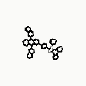 c1ccc(-n2c(-c3ccc(-c4ccc5c(-c6ccc7ccccc7c6)c6ccccc6c(-c6ccc7ccccc7c6)c5c4)cc3)nc3c4ccccc4c4ccccc4c32)cc1